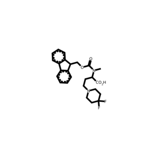 CN(C(=O)OCC1c2ccccc2-c2ccccc21)C(CCN1CCC(F)(F)CC1)C(=O)O